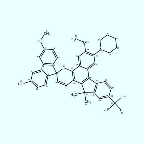 COc1ccc(C2(c3ccc(O)cc3)C=Cc3c4c(c5cc(N6CCCCC6)c(OC)cc5c3O2)-c2ccc(C(F)(F)F)cc2C4(C)C)cc1